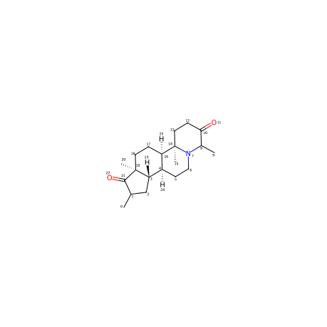 CC1C[C@H]2[C@@H]3CCN4C(C)C(=O)CC[C@]4(C)[C@@H]3CC[C@]2(C)C1=O